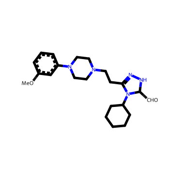 COc1cccc(N2CCN(CCC3=NNC(C=O)N3C3CCCCC3)CC2)c1